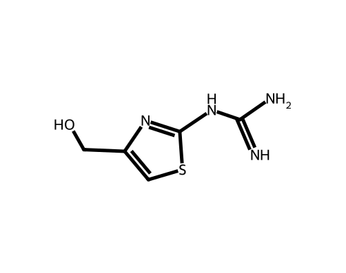 N=C(N)Nc1nc(CO)cs1